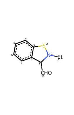 CCN1Sc2ccccc2C1C=O